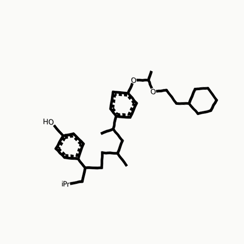 CC(C)CC(CCC(C)CC(C)c1ccc(OC(C)OCCC2CCCCC2)cc1)c1ccc(O)cc1